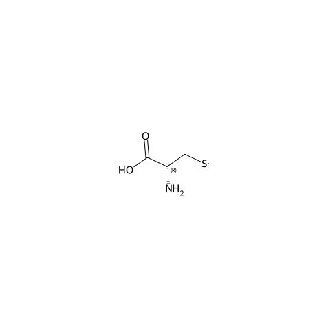 N[C@@H](C[S])C(=O)O